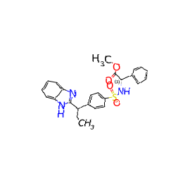 CCC(c1ccc(S(=O)(=O)N[C@H](C(=O)OC)c2ccccc2)cc1)c1nc2ccccc2[nH]1